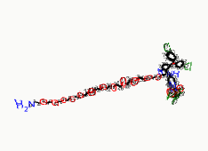 NCCOCCOCCOCCOCCOCCOCCOCCOCCOCCOCCOCCOc1cc(NC2CCN(S(=O)(=O)C(F)(F)F)CC2)c2cc(C(c3ccc(Cl)cc3)c3ccc(Cl)cc3)ccc2n1